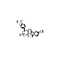 O=C(c1ccc(C(F)(F)F)cc1)N1CCc2c([nH]c3ccc(Cl)cc23)C1CO